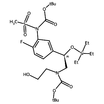 CC[Si](CC)(CC)O[C@@H](CN(CCO)C(=O)OC(C)(C)C)c1ccc(F)c(N(C(=O)OC(C)(C)C)S(C)(=O)=O)c1